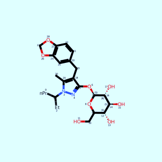 CCCC(CC)n1nc(O[C@@H]2OC(CO)[C@@H](O)[C@H](O)[C@H]2O)c(Cc2ccc3c(c2)OCO3)c1C